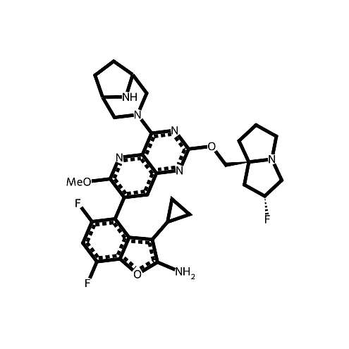 COc1nc2c(N3CC4CCC(C3)N4)nc(OC[C@@]34CCCN3C[C@H](F)C4)nc2cc1-c1c(F)cc(F)c2oc(N)c(C3CC3)c12